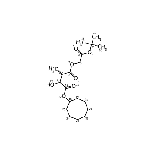 C=C(C(=O)OCC(=O)OC(C)(C)C)C(O)C(=O)OC1CCCCCCC1